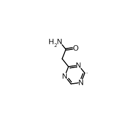 NC(=O)Cc1n[c]ncn1